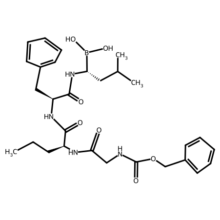 CCC[C@H](NC(=O)CNC(=O)OCc1ccccc1)C(=O)N[C@@H](Cc1ccccc1)C(=O)N[C@@H](CC(C)C)B(O)O